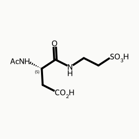 CC(=O)N[C@@H](CC(=O)O)C(=O)NCCS(=O)(=O)O